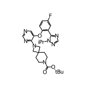 CC(C)n1ncnc1-c1cc(F)ccc1Oc1cncnc1N1CC2(CCN(C(=O)OC(C)(C)C)CC2)C1